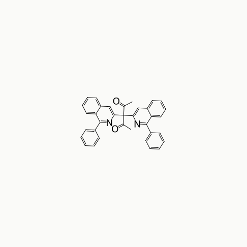 CC(=O)C(C(C)=O)(c1cc2ccccc2c(-c2ccccc2)n1)c1cc2ccccc2c(-c2ccccc2)n1